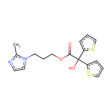 Cc1nccn1CCCOC(=O)C(O)(c1cccs1)c1cccs1